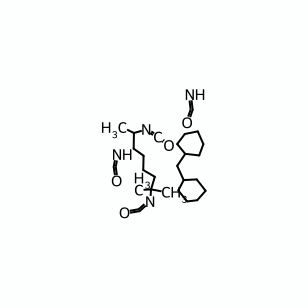 C1CCC(CC2CCCCC2)CC1.CC(CCCCC(C)(C)N=C=O)N=C=O.N=C=O.N=C=O